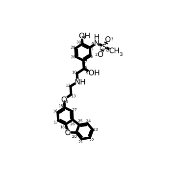 CS(=O)(=O)Nc1cc(C(O)CNCCOc2ccc3oc4ccccc4c3c2)ccc1O